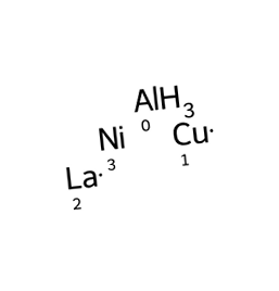 [AlH3].[Cu].[La].[Ni]